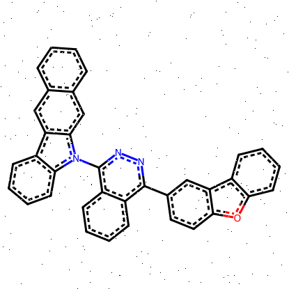 c1ccc2cc3c(cc2c1)c1ccccc1n3-c1nnc(-c2ccc3oc4ccccc4c3c2)c2ccccc12